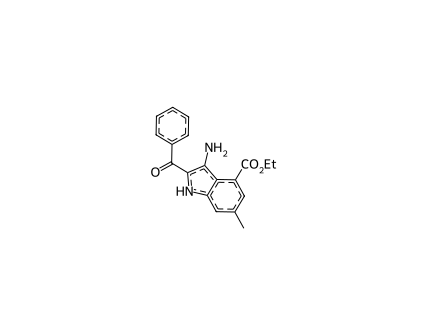 CCOC(=O)c1cc(C)cc2[nH]c(C(=O)c3ccccc3)c(N)c12